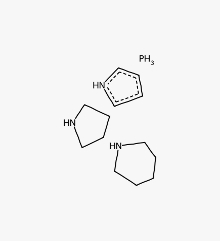 C1CCNC1.C1CCNCC1.P.c1cc[nH]c1